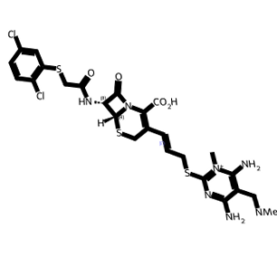 CNCc1c(N)nc(SC/C=C/C2=C(C(=O)O)N3C(=O)[C@@H](NC(=O)CSc4cc(Cl)ccc4Cl)[C@H]3SC2)[n+](C)c1N